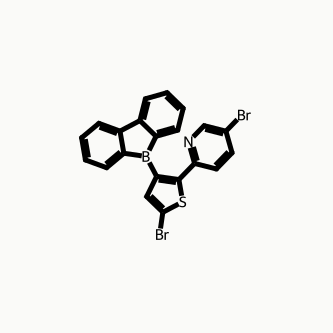 Brc1ccc(-c2sc(Br)cc2B2c3ccccc3-c3ccccc32)nc1